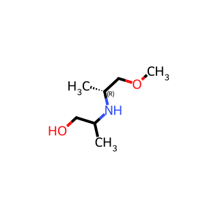 COC[C@@H](C)NC(C)CO